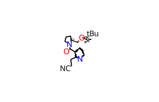 CC(C)(C)[Si](C)(C)OC[C@@H]1CCCN1C(=O)c1cccnc1CCC#N